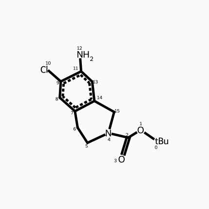 CC(C)(C)OC(=O)N1CCc2cc(Cl)c(N)cc2C1